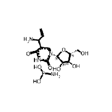 C=CC(N)c1cn([C@@H]2O[C@H](CO)[C@@H](O)[C@H]2O)c(=O)[nH]c1=O.NP(O)O